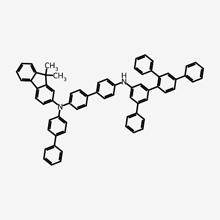 CC1(C)c2ccccc2-c2ccc(N(c3ccc(-c4ccccc4)cc3)c3ccc(-c4ccc(Nc5cc(-c6ccccc6)cc(-c6ccc(-c7ccccc7)cc6-c6ccccc6)c5)cc4)cc3)cc21